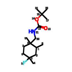 CC1CC(C)(F)CCC1(C)CNC(=O)OC(C)(C)C